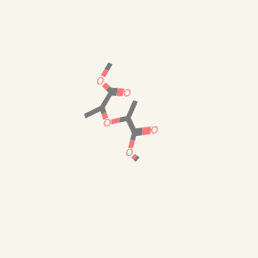 COC(=O)C(C)OC(C)C(=O)OC